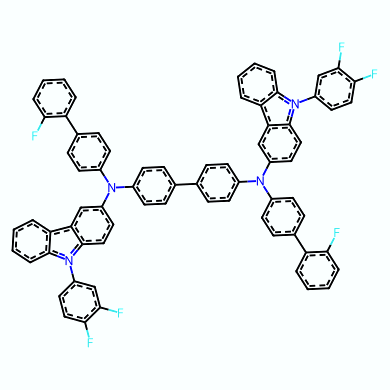 Fc1ccc(-n2c3ccccc3c3cc(N(c4ccc(-c5ccc(N(c6ccc(-c7ccccc7F)cc6)c6ccc7c(c6)c6ccccc6n7-c6ccc(F)c(F)c6)cc5)cc4)c4ccc(-c5ccccc5F)cc4)ccc32)cc1F